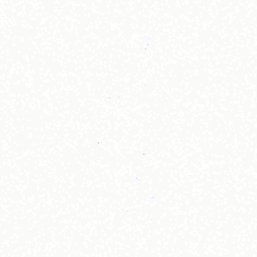 N#Cc1ccc(-c2ccc3c(c2)C(c2ccccc2)(c2ccccc2)c2cc(-c4ccc5ccc6cccnc6c5n4)ccc2-3)cc1